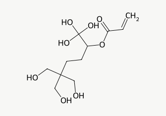 C=CC(=O)OC(CCC(CO)(CO)CO)C(O)(O)O